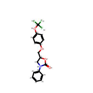 O=C1OC(COc2ccc(OC(F)(F)F)cc2)CN1c1ccccc1